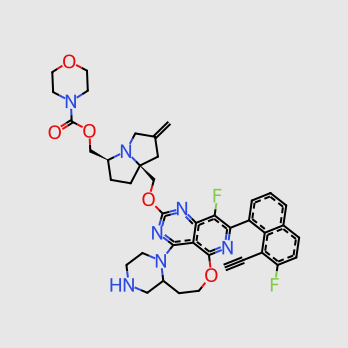 C#Cc1c(F)ccc2cccc(-c3nc4c5c(nc(OC[C@@]67CC[C@@H](COC(=O)N8CCOCC8)N6CC(=C)C7)nc5c3F)N3CCNCC3CCO4)c12